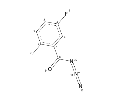 Cc1ccc(F)cc1C(=O)N=[N+]=[N-]